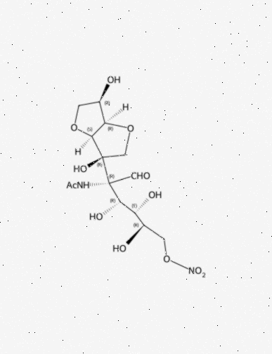 CC(=O)N[C@](C=O)([C@@H](O)[C@H](O)[C@H](O)CO[N+](=O)[O-])[C@@]1(O)CO[C@@H]2[C@H](O)CO[C@@H]21